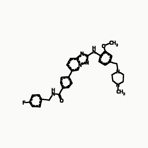 COc1cc(CN2CCN(C)CC2)ccc1Nc1nc2ccc(-c3ccc(C(=O)NCc4ccc(F)cc4)cc3)cn2n1